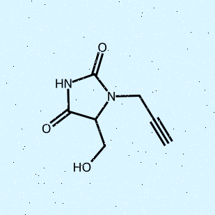 C#CCN1C(=O)NC(=O)C1CO